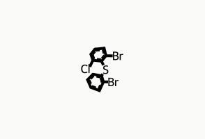 Clc1cccc(Br)c1Sc1ccccc1Br